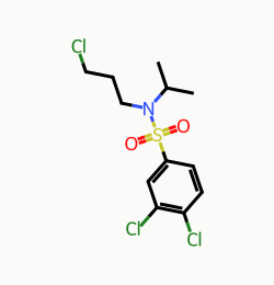 CC(C)N(CCCCl)S(=O)(=O)c1ccc(Cl)c(Cl)c1